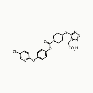 O=C(O)Cn1nnnc1SC1CCN(C(=O)Oc2ccc(Oc3ccc(Cl)cn3)cc2)CC1